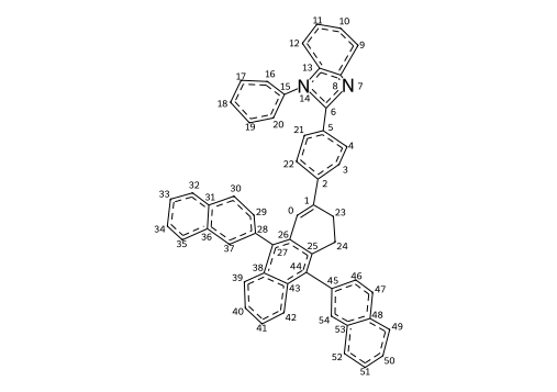 C1=C(c2ccc(-c3nc4ccccc4n3-c3ccccc3)cc2)CCc2c1c(-c1ccc3ccccc3c1)c1ccccc1c2-c1ccc2ccccc2c1